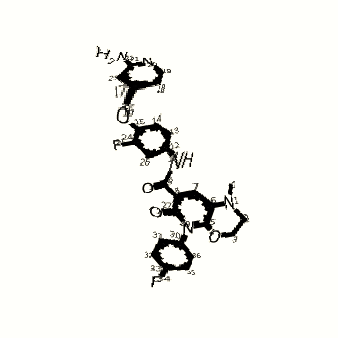 CN1CCOc2c1cc(C(=O)Nc1ccc(Oc3ccnc(N)c3)c(F)c1)c(=O)n2-c1ccc(F)cc1